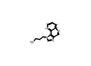 OCCCn1cnc2cnc3cccnc3c21